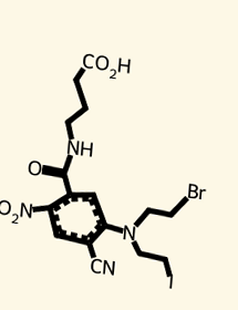 N#Cc1cc([N+](=O)[O-])c(C(=O)NCCCC(=O)O)cc1N(CCBr)CCI